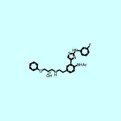 CC(=O)Nc1ccc(CCNC[C@H](O)COc2ccccc2)cc1-c1csc(Nc2cccc(F)c2)n1